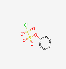 O=S(=O)(Cl)S(=O)(=O)Oc1ccccc1